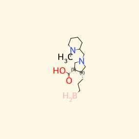 BCCC[C@H]1CN(CC2CCCCN2C)C[C@H]1C(=O)O